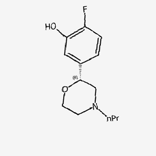 CCCN1CCO[C@H](c2ccc(F)c(O)c2)C1